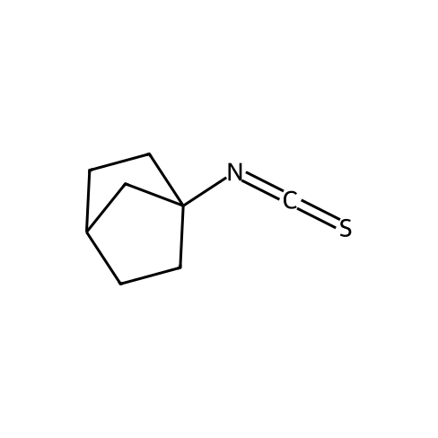 S=C=NC12CCC(CC1)C2